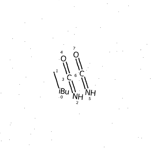 CCC(C)C.N=C=O.N=C=O